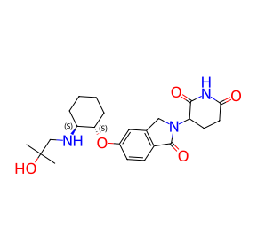 CC(C)(O)CN[C@H]1CCCC[C@@H]1Oc1ccc2c(c1)CN(C1CCC(=O)NC1=O)C2=O